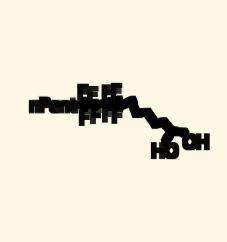 CCCCCC(F)(F)C(F)(F)C(F)(F)C(F)(F)CCCCCC(CO)CO